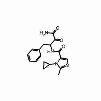 Cc1ncc(C(=O)NC(Cc2ccccc2)C(=O)C(N)=O)n1C1CC1